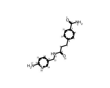 NC(=O)c1ccc(C[CH]C(=O)NCc2ccc(N)nc2)cc1